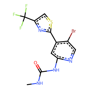 CNC(=O)Nc1cc(-c2nc(C(F)(F)F)cs2)c(Br)cn1